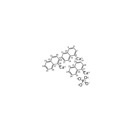 O=P([O-])([O-])[O-].[Ca+][c]1cccc2ccccc12.[Ca+][c]1cccc2ccccc12.[Ca+][c]1cccc2ccccc12